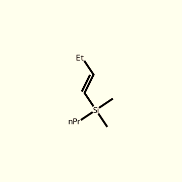 CC/C=C/[Si](C)(C)CCC